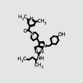 CCCC(C)Nc1ncc2c(C3CCN(C(=O)c4cc(C)nc(C)c4)CC3)cn(CC3CCC(O)CC3)c2n1